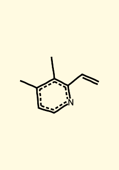 C=Cc1nccc(C)c1C